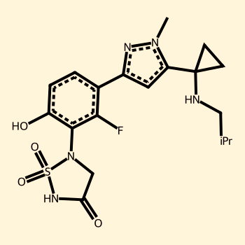 CC(C)CNC1(c2cc(-c3ccc(O)c(N4CC(=O)NS4(=O)=O)c3F)nn2C)CC1